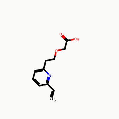 C=Cc1cccc(CCOCC(=O)O)n1